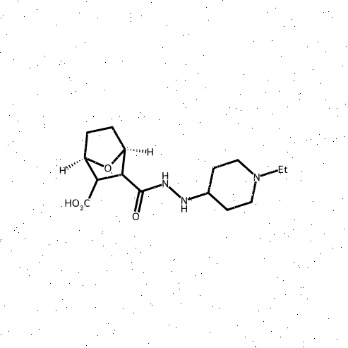 CCN1CCC(NNC(=O)C2C(C(=O)O)[C@H]3CC[C@@H]2O3)CC1